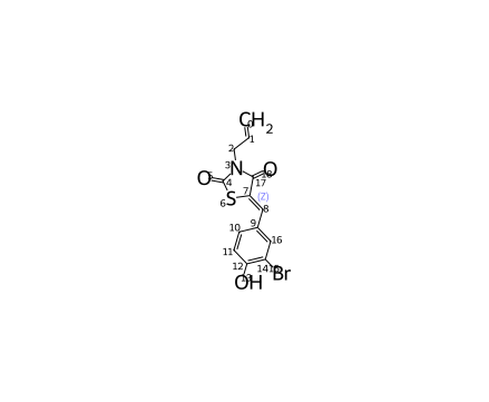 C=CCN1C(=O)S/C(=C\c2ccc(O)c(Br)c2)C1=O